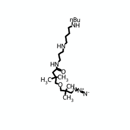 CCCCNCCCCNCCCNC(=O)CC(C)(C)COCC(C)(C)CN=[N+]=[N-]